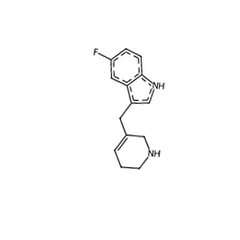 Fc1ccc2[nH]cc(CC3=CCCNC3)c2c1